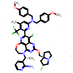 COc1ccc(CN(Cc2ccc(OC)cc2)c2cc(C)c(C(F)(F)F)c(-c3nc4c5c(nc(OC[C@@]67CCCN6C[C@H](F)C7)nc5c3F)N([C@H](C)c3cccnc3N)CCO4)n2)cc1